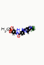 CCS(=O)(=O)c1ccc(CNC(=O)c2ccc3c(c2)nc(Cc2ccc(C(F)(F)F)nc2)n3C2CC2)cc1